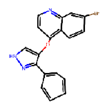 Brc1ccc2c(Oc3c[nH]nc3-c3ccccc3)ccnc2c1